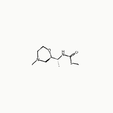 CSC(=O)N[C@H](C)[C@H]1CN(C)CCO1